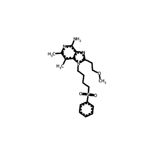 COCCc1nc2c(N)nc(C)c(C)c2n1CCCCS(=O)(=O)c1ccccc1